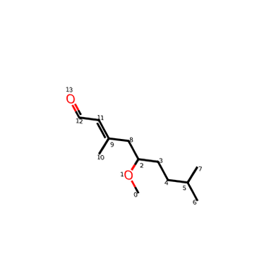 COC(CCC(C)C)C/C(C)=C/C=O